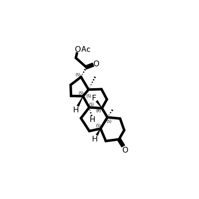 CC(=O)OCC(=O)[C@H]1CC[C@H]2[C@@H]3CC[C@H]4CC(=O)CC[C@]4(C)[C@@]3(F)CC[C@]12C